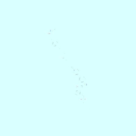 CCN(C)S(=O)(=O)Nc1ccc(F)c(C(=O)c2c[nH]c3ncc(-c4ccc(N5CC6(CN(C(=O)CN7CCN(c8ccc(NC9CCC(=O)NC9=O)cc8)CC7)C6)C5)nc4)cc23)c1F